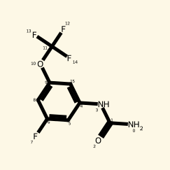 NC(=O)Nc1cc(F)cc(OC(F)(F)F)c1